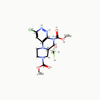 CC(C)(C)OC(=O)N1CCN2c3cc(Cl)nnc3N(C(=O)OC(C)(C)C)C(=O)[C@@]2(C(F)F)C1